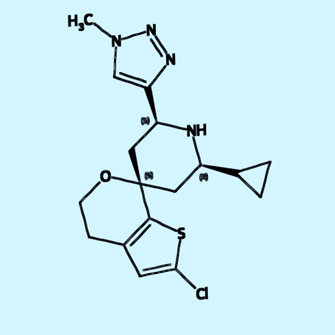 Cn1cc([C@@H]2C[C@]3(C[C@H](C4CC4)N2)OCCc2cc(Cl)sc23)nn1